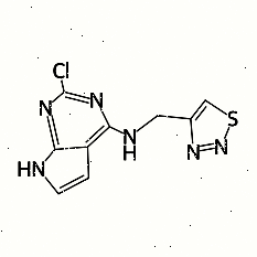 Clc1nc(NCc2csnn2)c2cc[nH]c2n1